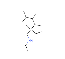 CCNCC(C)(CC)C(C)C(C)C(C)C